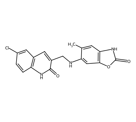 Cc1cc2[nH]c(=O)oc2cc1NCc1cc2cc(Cl)ccc2[nH]c1=O